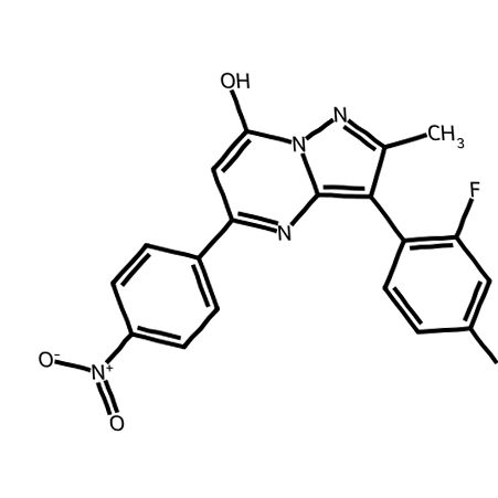 Cc1nn2c(O)cc(-c3ccc([N+](=O)[O-])cc3)nc2c1-c1ccc(F)cc1F